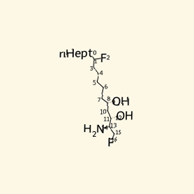 CCCCCCCC(F)CCCCC[C@H](O)C[C@H](O)[C@H](N)CF